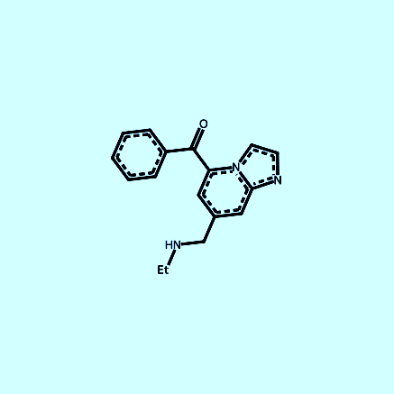 CCNCc1cc(C(=O)c2ccccc2)n2ccnc2c1